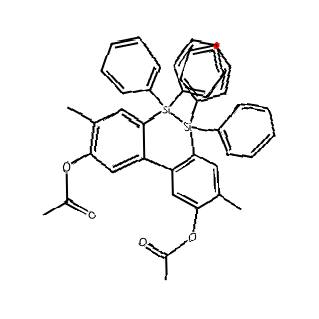 CC(=O)Oc1cc2c(cc1C)[Si](c1ccccc1)(c1ccccc1)[Si](c1ccccc1)(c1ccccc1)c1cc(C)c(OC(C)=O)cc1-2